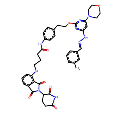 Cc1cccc(/C=N/Nc2cc(N3CCOCC3)nc(OCCc3ccc(NC(=O)CCCNc4cccc5c4C(=O)N(C4CCC(=O)NC4=O)C5=O)cc3)n2)c1